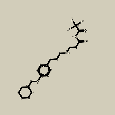 O=C(CCNCCCc1ccc(OCC2CCCCC2)cc1)OC(=O)C(F)(F)F